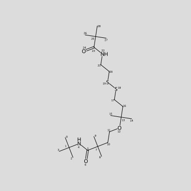 CC(C)(C)NC(=O)C(C)(C)CCOC(C)(C)CCSSCCNC(=O)C(C)(C)C